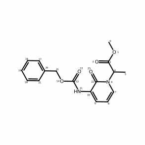 COC(=O)C(C)n1cccc(NC(=O)OCc2ccccc2)c1=O